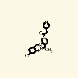 Cc1nn(Cc2ccc(Cl)cc2F)c2c1CCN(C(=O)Cc1ccncc1)C2